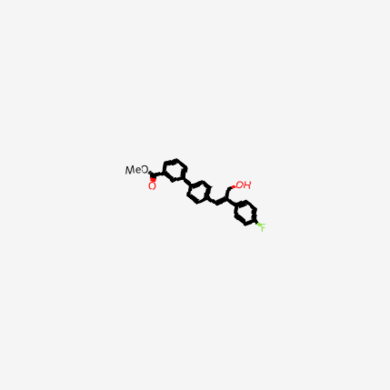 COC(=O)c1cccc(-c2ccc(/C=C(\CO)c3ccc(F)cc3)cc2)c1